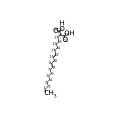 CCCCCCCCC=CCC=CCCCCCC(C(=O)O)C(=O)O